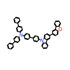 c1ccc(-c2ccc(N(c3ccc(-c4ccccc4)cc3)c3ccc(-c4ccc(-n5c6ccccc6c6cc(-c7ccc8oc9ccccc9c8c7)ccc65)cc4)cc3)cc2)cc1